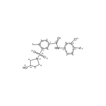 Cc1ccc(C(=O)Nc2ccc(F)c(Cl)c2)cc1S(=O)(=O)N1CCC(O)C1